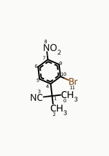 CC(C)(C#N)c1ccc([N+](=O)[O-])cc1Br